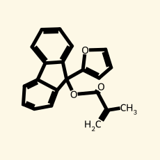 C=C(C)C(=O)OC1(c2ccco2)c2ccccc2-c2ccccc21